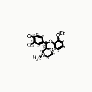 CCOc1ccccc1OC(c1ccc(Cl)c(Cl)c1)C1CN(C)CCO1